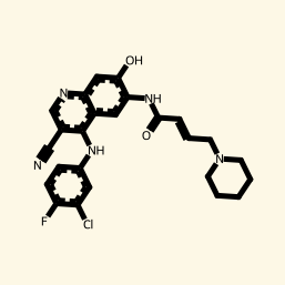 N#Cc1cnc2cc(O)c(NC(=O)/C=C/CN3CCCCC3)cc2c1Nc1ccc(F)c(Cl)c1